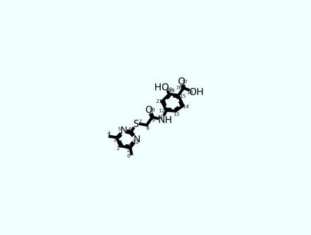 Cc1cc(C)nc(SCC(=O)Nc2ccc(C(=O)O)c(O)c2)n1